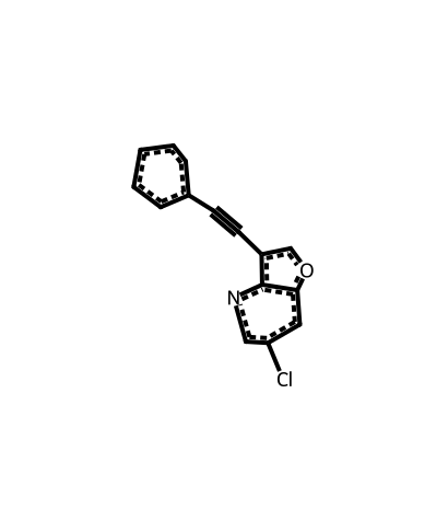 Clc1cnc2c(C#Cc3ccccc3)coc2c1